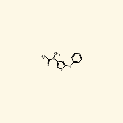 CN(C(N)=O)c1csc(Sc2ccccc2)c1